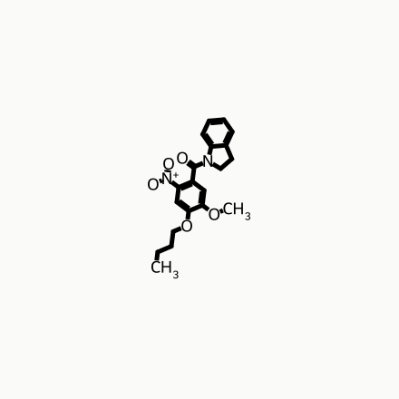 CCCCOc1cc([N+](=O)[O-])c(C(=O)N2CCc3ccccc32)cc1OC